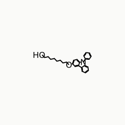 OCCCCCCCCOc1ccc2c(c1)c1ccccc1n2-c1ccccc1